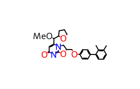 COC(c1cc(=O)nc2n1CC(COc1ccc(-c3cccc(C)c3C)cc1)O2)C1CCCO1